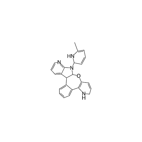 CC1=CC=CC(N2c3ncccc3C3c4ccccc4C4=C(C=CCN4)OC32)N1